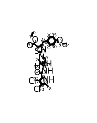 CCOC(=O)c1sc(N2C[C@@H]3C(NC(=O)c4[nH]c(C)c(Cl)c4Cl)[C@@H]3C2)nc1Cc1ccc(OCC)cc1